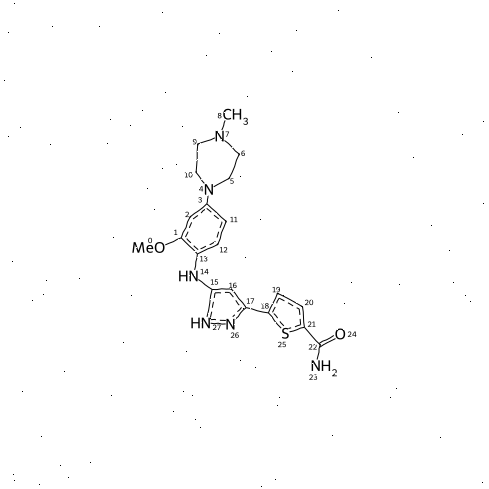 COc1cc(N2CCN(C)CC2)ccc1Nc1cc(-c2ccc(C(N)=O)s2)n[nH]1